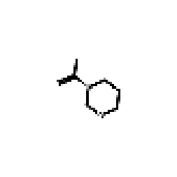 C=C(C)[C@H]1CCCOC1